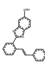 COc1ccc2oc(-c3ccccc3/C=C/c3ccccc3)nc2c1